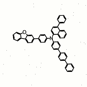 c1ccc(-c2ccc(-c3ccc(N(c4ccc(-c5ccc6c(c5)oc5ccccc56)cc4)c4ccc(-c5ccccc5)c5ccccc45)cc3)cc2)cc1